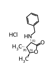 C[C@H]1[C@H](C)OC(=O)[C@H]1NCc1ccccc1.Cl